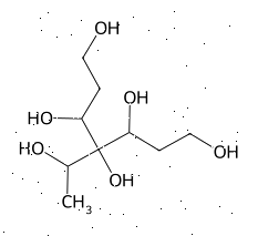 CC(O)C(O)(C(O)CCO)C(O)CCO